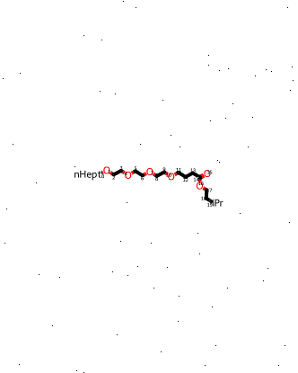 CCCCCCCOCCOCCOCCOCCCC(=O)OCCC(C)C